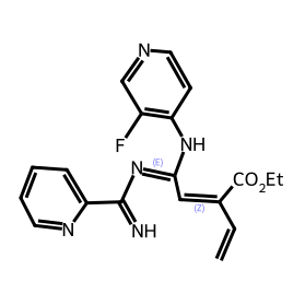 C=C/C(=C/C(=N\C(=N)c1ccccn1)Nc1ccncc1F)C(=O)OCC